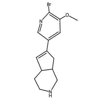 COc1cc(C2=CC3CCNCC3C2)cnc1Br